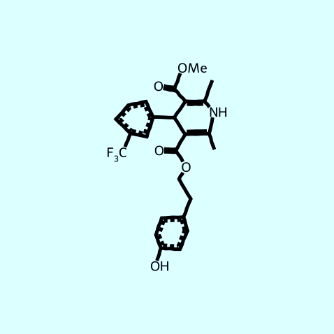 COC(=O)C1=C(C)NC(C)=C(C(=O)OCCc2ccc(O)cc2)C1c1cccc(C(F)(F)F)c1